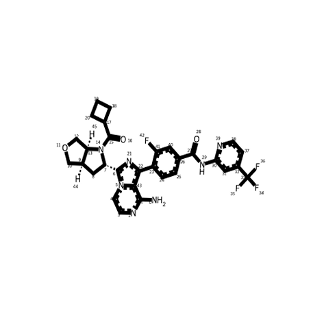 Nc1nccn2c([C@@H]3C[C@H]4COC[C@H]4N3C(=O)C3CCC3)nc(-c3ccc(C(=O)Nc4cc(C(F)(F)F)ccn4)cc3F)c12